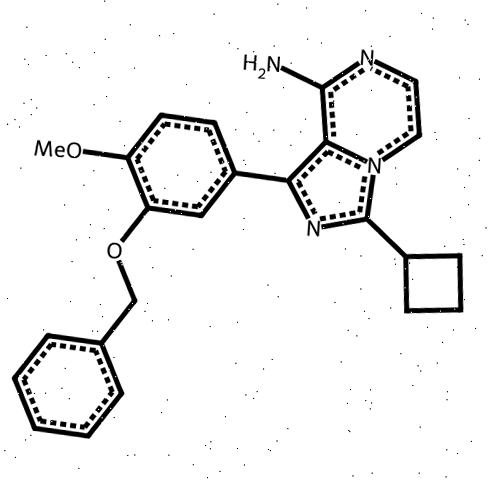 COc1ccc(-c2nc(C3CCC3)n3ccnc(N)c23)cc1OCc1ccccc1